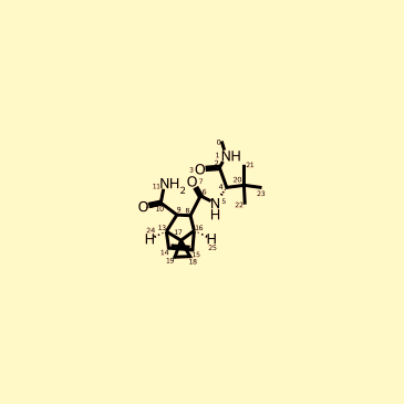 CNC(=O)[C@@H](NC(=O)C1C(C(N)=O)[C@@H]2C=C[C@H]1C21CC1)C(C)(C)C